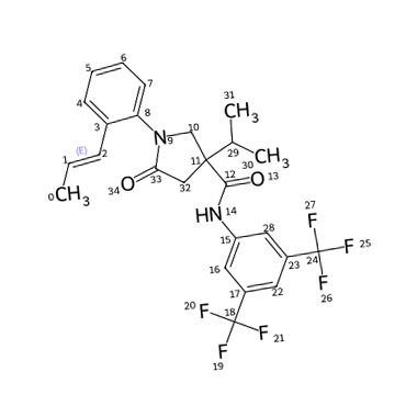 C/C=C/c1ccccc1N1CC(C(=O)Nc2cc(C(F)(F)F)cc(C(F)(F)F)c2)(C(C)C)CC1=O